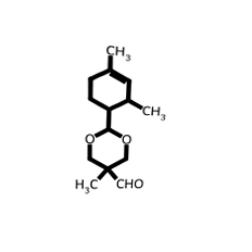 CC1=CC(C)C(C2OCC(C)(C=O)CO2)CC1